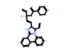 C=CC1C(/C=C/[C@@](C)(C=C)CC(=C)C2=CC=CCC2)N=C2C3C=CC=CC3c3ccccc3N21